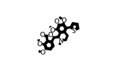 COc1ccc2c(c1OC)C(=O)O[C@@H]2[C@H]1c2c(c(-c3cccs3)c3c(c2OC)OCO3)CCN1C